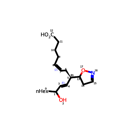 CCCCCCC(O)/C=C/[C@@H](C/C=C\CCCC(=O)O)C1CC=NO1